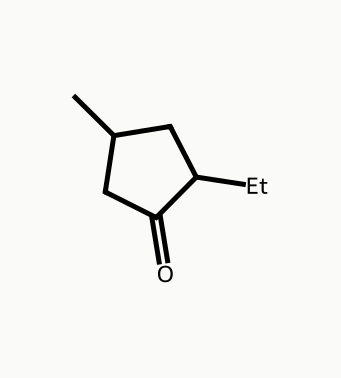 CCC1CC(C)CC1=O